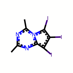 Cc1nc(C)n2c(I)c(I)c(I)c2n1